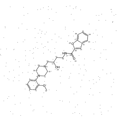 COc1ccccc1N1CCN(CC(O)CCNC(=O)c2cc3ccccc3o2)CC1